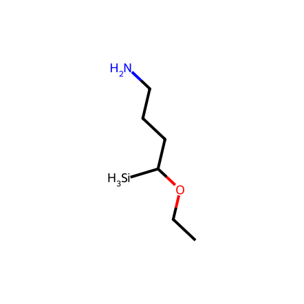 CCOC([SiH3])CCCN